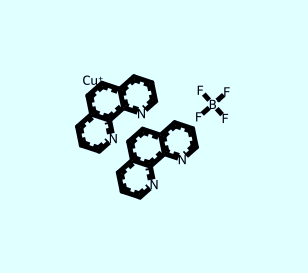 F[B-](F)(F)F.[Cu+].c1cnc2c(c1)ccc1cccnc12.c1cnc2c(c1)ccc1cccnc12